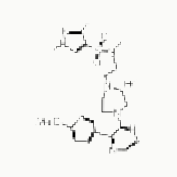 COc1ccc(-c2nccnc2N2CCN(CCN(C)S(=O)(=O)c3cn(C)nc3C)CC2)cc1.Cl